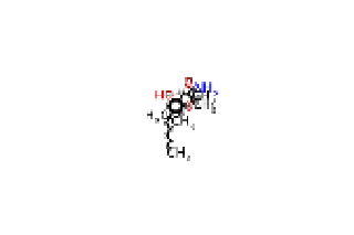 CCCCCCC(C)(C)c1cc(O)c2c(c1)OC(C)(C)C(C(N)=O)C2